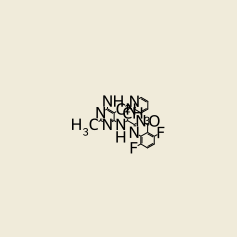 Cc1nc(N)c(C#N)c(N[C@@H](C)c2nc3c(F)ccc(F)c3c(=O)n2-c2cccnc2)n1